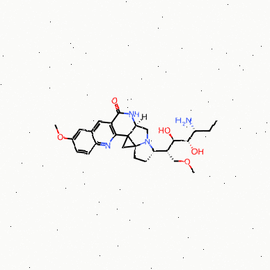 CC[C@@H](N)[C@H](O)[C@H](O)[C@H](COC)[C@@H]1CC[C@@]23CC24c2nc5ccc(OC)cc5cc2C(=O)N[C@H]4CN13